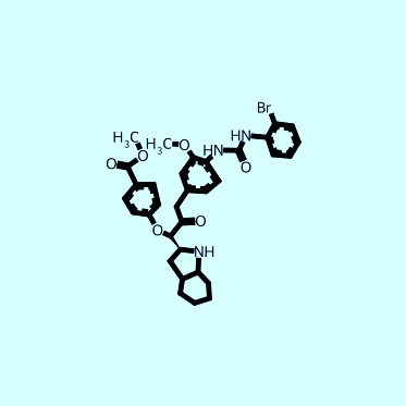 COC(=O)c1ccc(OC(C(=O)Cc2ccc(NC(=O)Nc3ccccc3Br)c(OC)c2)[C@@H]2CC3CCCCC3N2)cc1